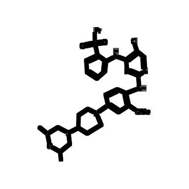 COc1cc(N2CCC(N3CC(C)OC(C)C3)CC2)ccc1Nc1ncc(Cl)c(Nc2ccccc2S(=O)(=O)C(C)C)n1